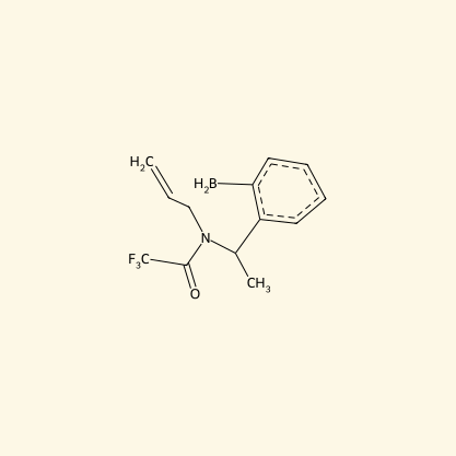 Bc1ccccc1C(C)N(CC=C)C(=O)C(F)(F)F